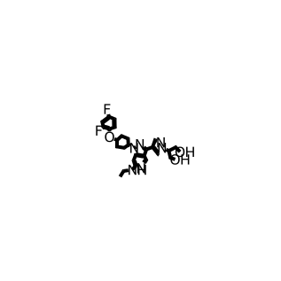 CCNc1cc2c(cn1)c(-c1cnn(C(CO)CO)c1)nn2C1CCC(Oc2ccc(F)cc2F)CC1